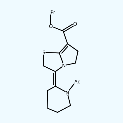 CC(=O)N1CCCCC1=C1CSC2=C(C(=O)OC(C)C)CCN12